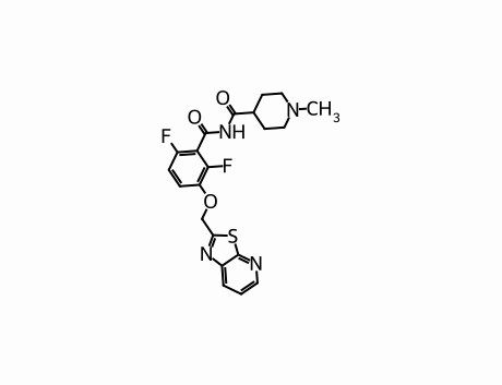 CN1CCC(C(=O)NC(=O)c2c(F)ccc(OCc3nc4cccnc4s3)c2F)CC1